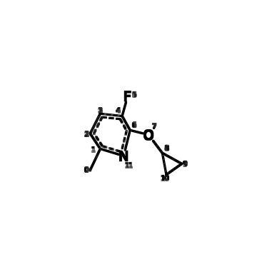 Cc1ccc(F)c(OC2CC2)n1